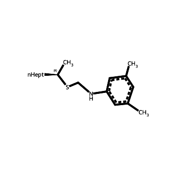 CCCCCCC[C@@H](C)SCNc1cc(C)cc(C)c1